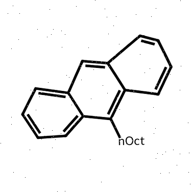 CCCCCCCCc1c2ccc[c]c2cc2ccccc12